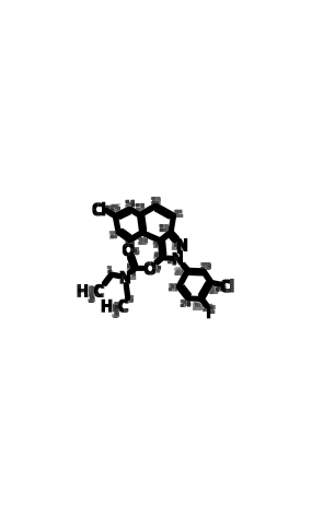 CCN(CC)C(=O)Oc1c2c(ccc3cc(Cl)ccc32)nn1-c1ccc(F)c(Cl)c1